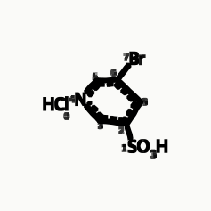 Cl.O=S(=O)(O)c1cncc(Br)c1